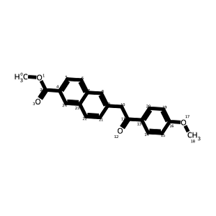 COC(=O)c1ccc2cc(CC(=O)c3ccc(OC)cc3)ccc2c1